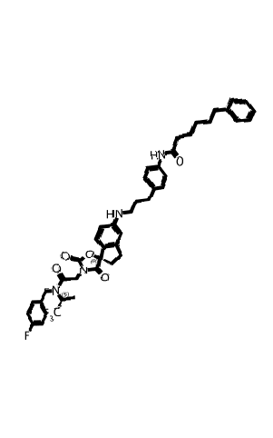 C[C@H](N(Cc1ccc(F)cc1)C(=O)CN1C(=O)O[C@@]2(CCc3cc(NCCCc4ccc(NC(=O)CCCCCc5ccccc5)cc4)ccc32)C1=O)C(F)(F)F